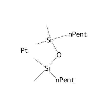 CCCCC[Si](C)(C)O[Si](C)(C)CCCCC.[Pt]